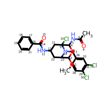 COC1OC(NC(C)=O)C2(Cl)CC(NC(=O)c3ccccc3)CC1N2Cc1ccc(Cl)c(Cl)c1